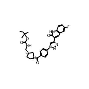 CCC(C)(C)OC(=O)NC[C@@H]1CCN(C(=O)c2ccc(-n3cc(-c4cc5cc(F)ccc5[nH]c4=O)nn3)cc2)C1